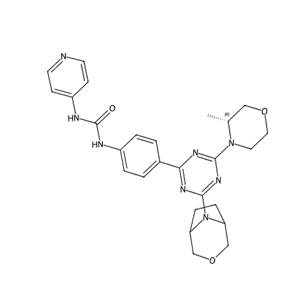 C[C@@H]1COCCN1c1nc(-c2ccc(NC(=O)Nc3ccncc3)cc2)nc(N2C3CCC2COC3)n1